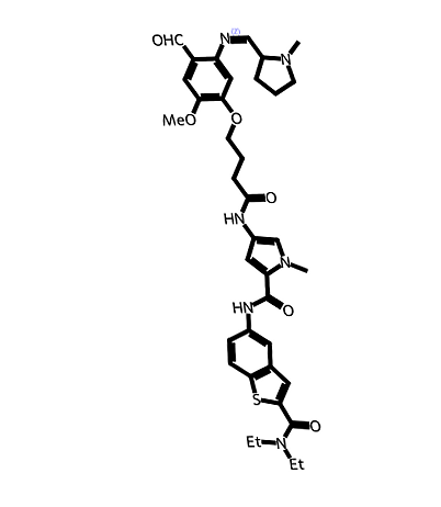 CCN(CC)C(=O)c1cc2cc(NC(=O)c3cc(NC(=O)CCCOc4cc(/N=C\C5CCCN5C)c(C=O)cc4OC)cn3C)ccc2s1